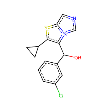 OC(c1cccc(Cl)c1)c1c(C2CC2)sc2cncn12